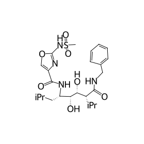 CC(C)C[C@H](NC(=O)c1coc(NS(C)(=O)=O)n1)[C@@H](O)[C@H](O)[C@H](C(=O)NCc1ccccc1)C(C)C